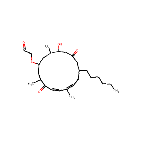 CCCCCCC1CC=C(C)C=CC(=O)C(C)CC(OCC=O)CC(C)C(O)CC(=O)C1